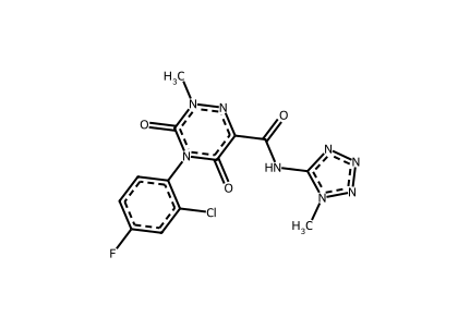 Cn1nnnc1NC(=O)c1nn(C)c(=O)n(-c2ccc(F)cc2Cl)c1=O